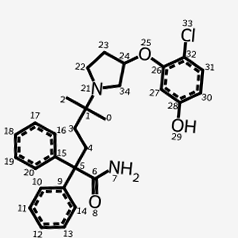 CC(C)(CCC(C(N)=O)(c1ccccc1)c1ccccc1)N1CCC(Oc2cc(O)ccc2Cl)C1